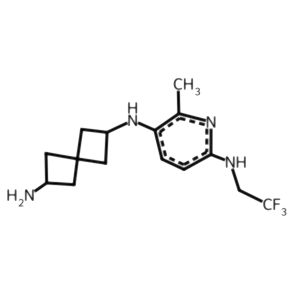 Cc1nc(NCC(F)(F)F)ccc1NC1CC2(CC(N)C2)C1